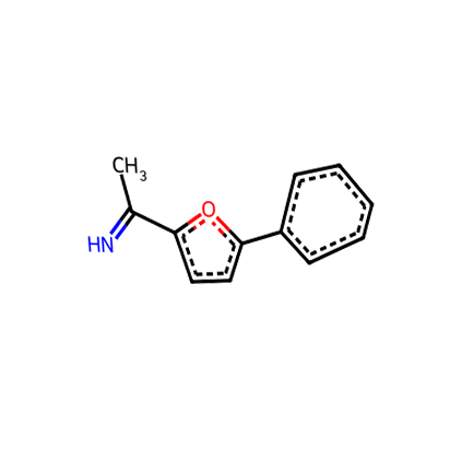 CC(=N)c1ccc(-c2ccccc2)o1